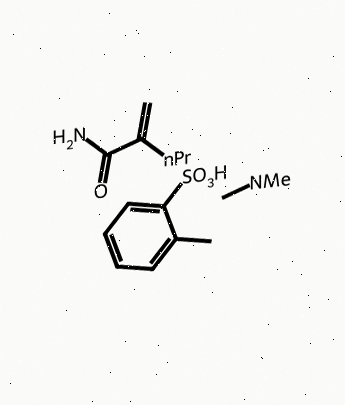 C=C(CCC)C(N)=O.CNC.Cc1ccccc1S(=O)(=O)O